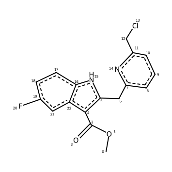 COC(=O)c1c(Cc2cccc(CCl)n2)[nH]c2ccc(F)cc12